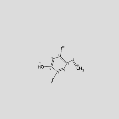 C=Cc1cc(I)c(O)cc1I